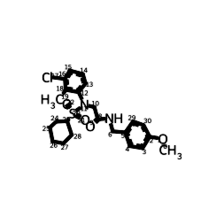 COc1ccc(CNC(=O)CN(c2cccc(Cl)c2C)S(=O)(=O)C2CCCCC2)cc1